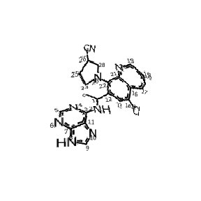 CC(Nc1ncnc2[nH]cnc12)c1cc(Cl)c2cccnc2c1N1CCC(C#N)C1